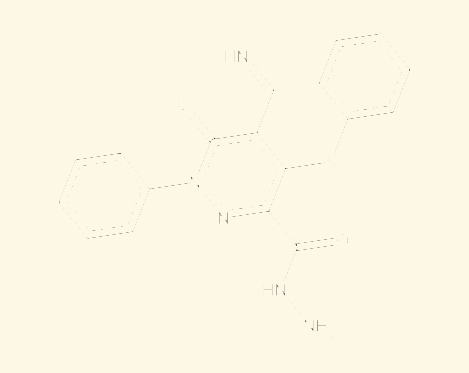 N=Cc1c(Sc2ccccc2)c(C(=O)NN)nn(-c2ccccc2)c1=O